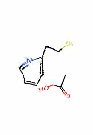 CC(=O)O.SCCc1ccccn1